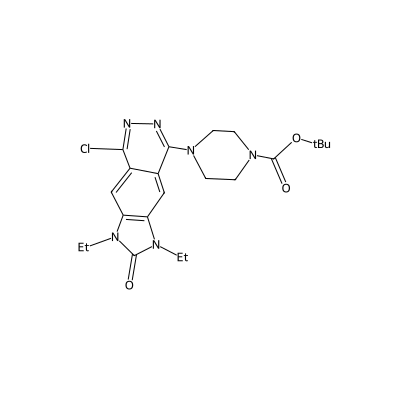 CCn1c(=O)n(CC)c2cc3c(N4CCN(C(=O)OC(C)(C)C)CC4)nnc(Cl)c3cc21